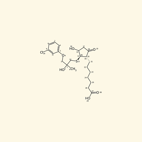 CC(O)(COc1cccc(Cl)c1)CS[C@H]1C(O)CC(=O)[C@@H]1CCCCCCC(=O)O